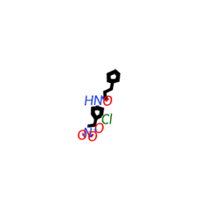 O=C(CCc1ccccc1)Nc1ccc(C(=O)C[N+](=O)[O-])c(Cl)c1